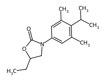 CCC1CN(c2cc(C)c(C(C)C)c(C)c2)C(=O)O1